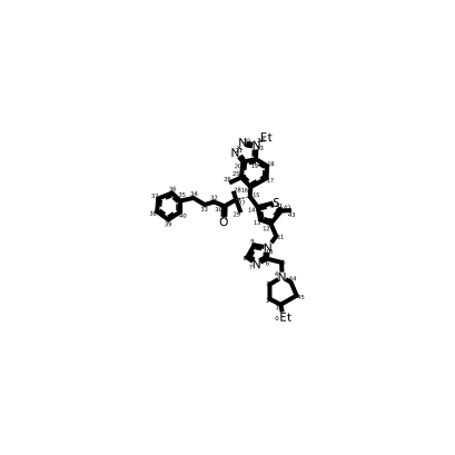 CCC1CCN(Cc2nccn2Cc2cc([C@@H](c3ccc4c(nnn4CC)c3C)C(C)(C)C(=O)CCCc3ccccc3)sc2C)CC1